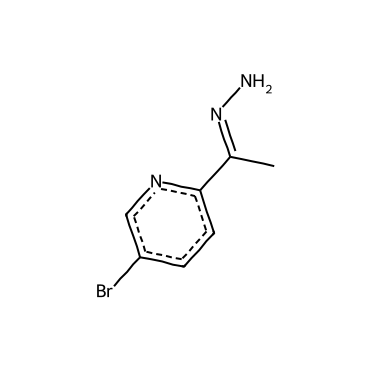 CC(=NN)c1ccc(Br)cn1